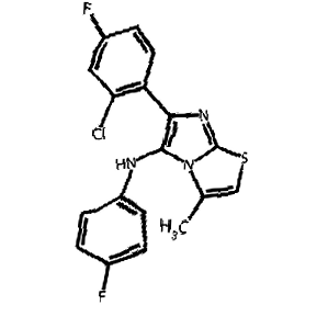 Cc1csc2nc(-c3ccc(F)cc3Cl)c(Nc3ccc(F)cc3)n12